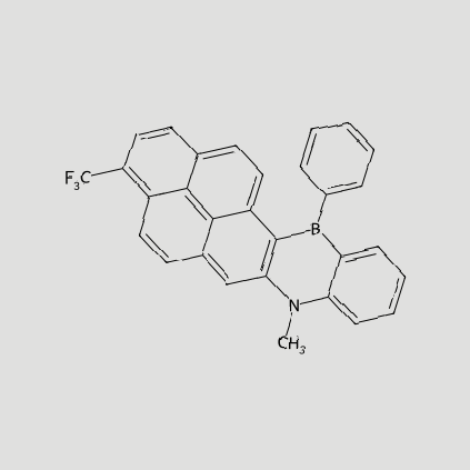 CN1c2ccccc2B(c2ccccc2)c2c1cc1ccc3c(C(F)(F)F)ccc4ccc2c1c43